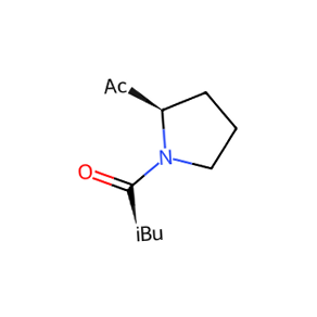 CC[C@H](C)C(=O)N1CCC[C@@H]1C(C)=O